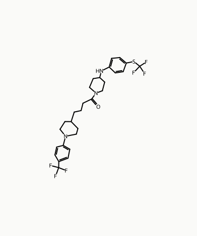 O=C(CCCC1CCN(c2ccc(C(F)(F)F)cc2)CC1)N1CCC(Nc2ccc(SC(F)(F)F)cc2)CC1